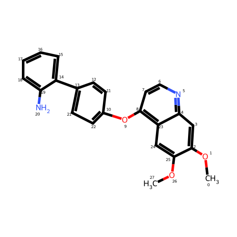 COc1cc2nccc(Oc3ccc(-c4ccccc4N)cc3)c2cc1OC